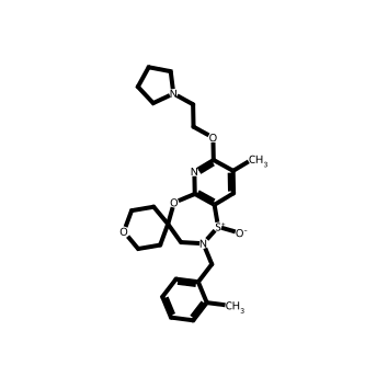 Cc1ccccc1CN1CC2(CCOCC2)Oc2nc(OCCN3CCCC3)c(C)cc2[S+]1[O-]